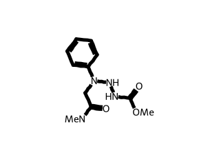 CNC(=O)CN(NNC(=O)OC)c1ccccc1